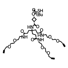 C#CCOCCOCCNC(=O)CCC(CCC(=O)NCCOCCOCC#C)(CCC(=O)NCCOCCOCC#C)NC(=O)[C@H]1C[C@H](OP(=O)(S)C(C)(C)C)C1